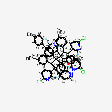 CCCCCc1ccc(C(Cc2ccc(Cl)nc2F)C(c2ccc(F)nc2F)(C(Cc2ccc(Cl)nc2F)c2ccc(CCCC)cc2)C(c2ccc(-c3ccc(CC)cc3)cc2)(C(Cc2ccc(Cl)nc2F)c2ccc(CC)cc2)C(Cc2ccc(Cl)nc2F)c2ccc(CCC)cc2)cc1